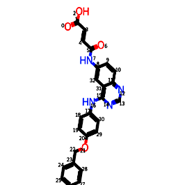 O=C(O)C=CC(=O)Nc1ccc2ncnc(Nc3ccc(OCc4ccccc4)cc3)c2c1